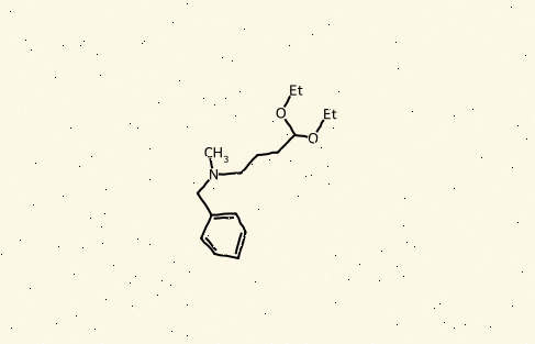 CCOC(CCCN(C)Cc1ccccc1)OCC